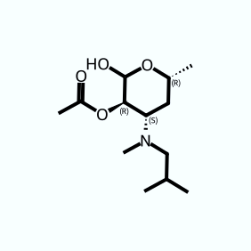 CC(=O)O[C@H]1C(O)O[C@H](C)C[C@@H]1N(C)CC(C)C